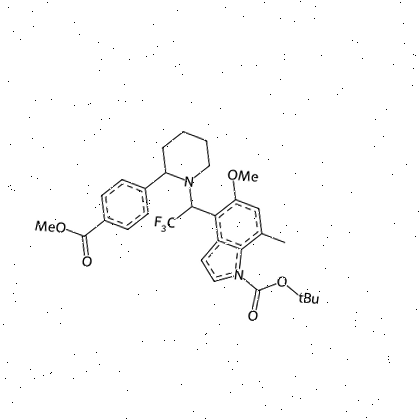 COC(=O)c1ccc(C2CCCCN2C(c2c(OC)cc(C)c3c2ccn3C(=O)OC(C)(C)C)C(F)(F)F)cc1